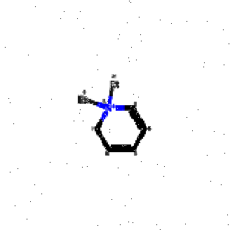 CC[N+]1(CC)C=CC=CC1